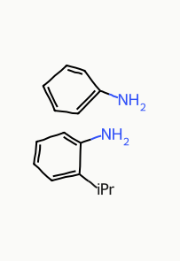 CC(C)c1ccccc1N.Nc1ccccc1